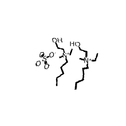 CCCCC[N+](C)(CC)CCO.CCCCC[N+](C)(CC)CCO.O=S(=O)([O-])[O-]